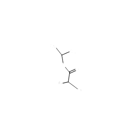 CCC(C(=O)OC(C(F)(F)F)C(F)(F)F)C(C)C